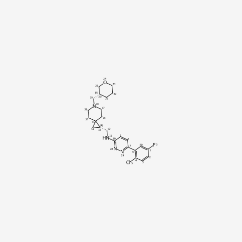 Fc1ccc(Cl)c(-c2ccc(NC[C@@H]3CC34CCN(C[C@H]3CCCOC3)CC4)nn2)c1